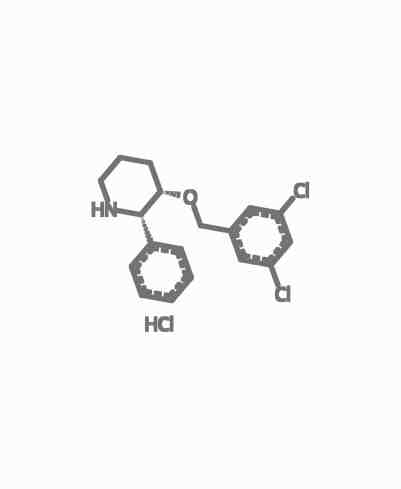 Cl.Clc1cc(Cl)cc(CO[C@H]2CCCN[C@H]2c2ccccc2)c1